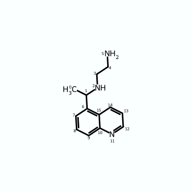 CC(NCCN)c1cccc2ncccc12